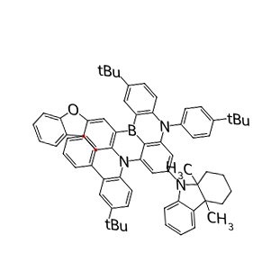 CC(C)(C)c1ccc(N2c3ccc(C(C)(C)C)cc3B3c4cc5oc6ccccc6c5cc4N(c4ccc(C(C)(C)C)cc4-c4ccccc4)c4cc(N5c6ccccc6C6(C)CCCCC56C)cc2c43)cc1